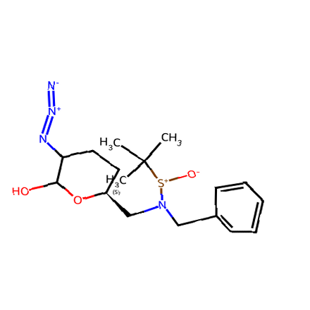 CC(C)(C)[S+]([O-])N(Cc1ccccc1)C[C@@H]1CCC(N=[N+]=[N-])C(O)O1